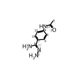 CC(=O)Nc1ccc(/C(N)=N/N)cc1